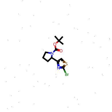 CC(C)(C)OC(=O)N1CCCC1c1csc(Br)n1